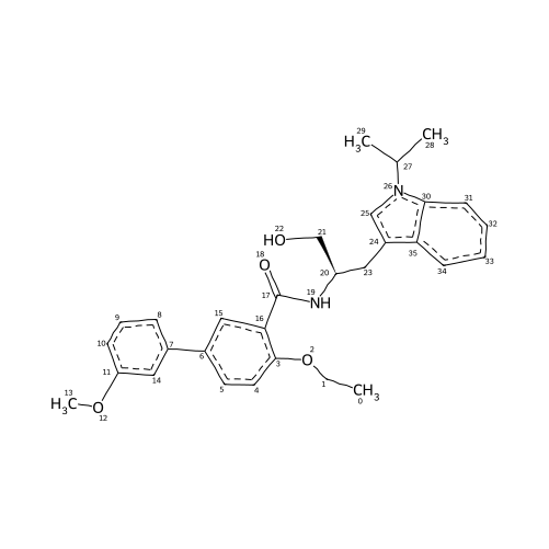 CCOc1ccc(-c2cccc(OC)c2)cc1C(=O)N[C@@H](CO)Cc1cn(C(C)C)c2ccccc12